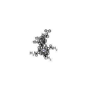 CCc1nc(C)oc1C(=O)Nc1nc2cc(C(N)=O)cc(OC)c2n1C/C=C/Cn1c(NC(=O)c2oc(C)nc2CC)nc2cc(C(N)=O)cc(OCCCNC(=O)[C@@H](CCC(=O)OC(C)(C)C)NC(=O)[C@@H](CNC(=O)OCC3c4ccccc4-c4ccccc43)NC(=O)OC(C)(C)C)c21